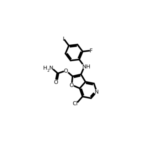 NC(=O)Oc1oc2c(Cl)cncc2c1Nc1ccc(I)cc1F